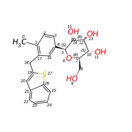 Cc1ccc([C@@H]2O[C@H](CO)[C@@H](O)[C@H](O)[C@H]2O)cc1Cc1cc2ccccc2s1